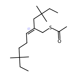 CCC(C)(C)CC/C=C(\CSC(C)=O)CC(C)(C)CC